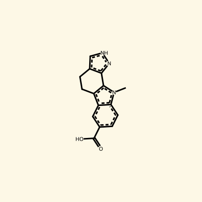 Cn1c2c(c3cc(C(=O)O)ccc31)CCc1c[nH]nc1-2